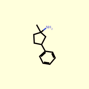 CC1(N)CCC(c2ccccc2)C1